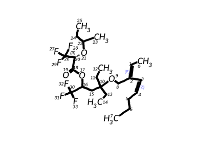 C/C=C(\C=C/CCC)COC(CC)(CC)CC(OC(=O)[C@@H](OC(C)CC)C(F)(F)F)C(F)(F)F